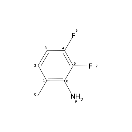 Cc1ccc(F)c(F)c1N